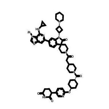 CC(C)n1cnc2cc(-c3ccc4c(c3)N([C@H]3C[C@@H](N5CCCCC5)C3)C(=O)C43CCN(C(=O)CC4CCN(C(=O)[C@H]5CC[C@H](Oc6ccc(C7CCC(=O)NC7=O)cn6)CC5)CC4)CC3)nc(NC3CC3)c21